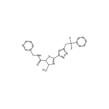 CC1N=C(c2cn(CC(F)(F)c3ccccc3)nn2)SC1C(=O)NCc1cccnc1